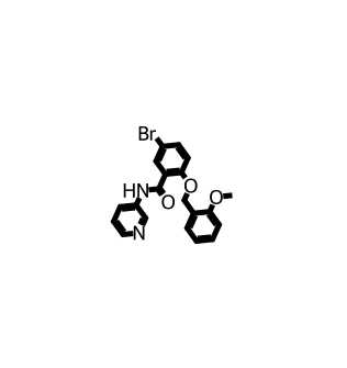 COc1ccccc1COc1ccc(Br)cc1C(=O)Nc1cccnc1